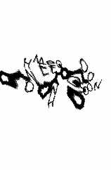 CCC(c1ccc(C(=O)C(C(=O)OC)S(=O)(=O)c2ccccc2)cc1OC)c1c[nH]c2ccc(NC(=O)CC3CCCC3)cc12